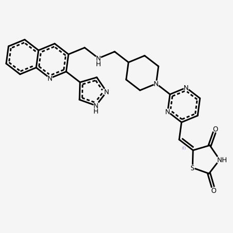 O=C1NC(=O)/C(=C\c2ccnc(N3CCC(CNCc4cc5ccccc5nc4-c4cn[nH]c4)CC3)n2)S1